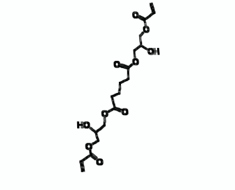 C=CC(=O)OCC(O)COC(=O)CCCCC(=O)OCC(O)COC(=O)C=C